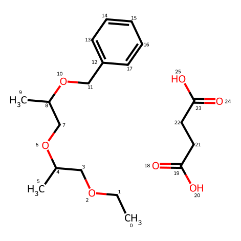 CCOCC(C)OCC(C)OCc1ccccc1.O=C(O)CCC(=O)O